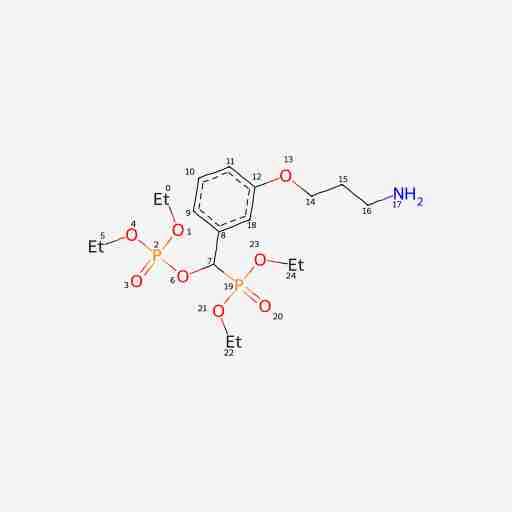 CCOP(=O)(OCC)OC(c1cccc(OCCCN)c1)P(=O)(OCC)OCC